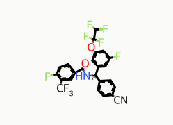 N#Cc1ccc([C@@H](NC(=O)c2ccc(F)c(C(F)(F)F)c2)c2cc(F)cc(OC(F)(F)C(F)F)c2)cc1